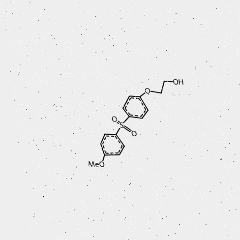 COc1ccc(S(=O)(=O)c2ccc(OCCO)cc2)cc1